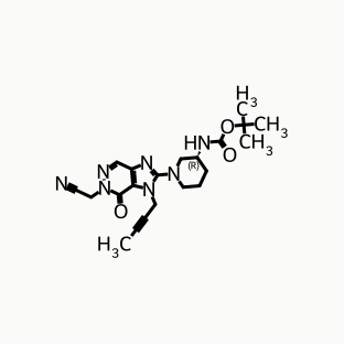 CC#CCn1c(N2CCC[C@@H](NC(=O)OC(C)(C)C)C2)nc2cnn(CC#N)c(=O)c21